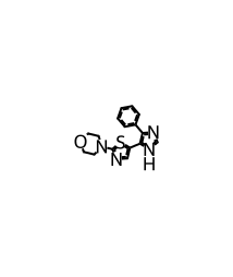 c1ccc(-c2nc[nH]c2-c2cnc(N3CCOCC3)s2)cc1